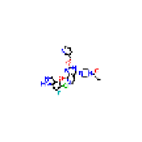 C=CC(=O)N1CCN(c2nc(OCc3cccnc3)nc3c(Oc4c(Cl)c(F)cc5[nH]ncc45)nccc23)CC1